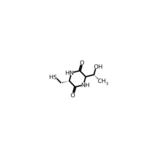 C[C@@H](O)C1NC(=O)[C@H](CS)NC1=O